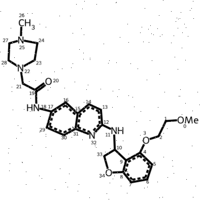 COCCOc1cccc2c1C(Nc1ccc3cc(NC(=O)CN4CCN(C)CC4)ccc3n1)CO2